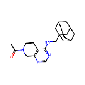 CC(=O)N1CCc2c(ncnc2NCC23CC4CC(CC(C4)C2)C3)C1